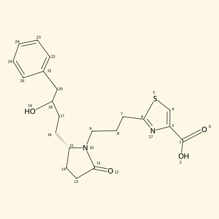 O=C(O)c1csc(CCCN2C(=O)CC[C@@H]2CCC(O)Cc2ccccc2)n1